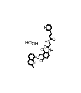 Cc1ccc2cccc(OCc3c(Cl)ccc(N(C)C(=O)CNC(=O)C=Cc4cccnc4)c3Cl)c2n1.Cl.Cl